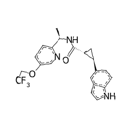 C[C@@H](NC(=O)[C@@H]1C[C@H]1c1ccc2[nH]ccc2c1)c1ccc(OCC(F)(F)F)cn1